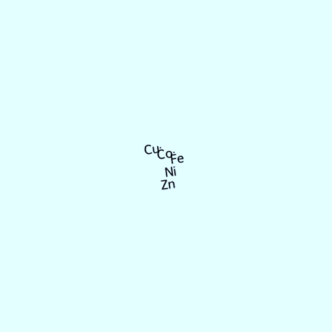 [Co].[Cu].[Fe].[Ni].[Zn]